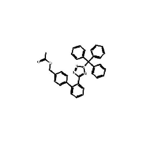 CC(=O)OCc1ccc(-c2ccccc2-c2nnn(C(c3ccccc3)(c3ccccc3)c3ccccc3)n2)cc1